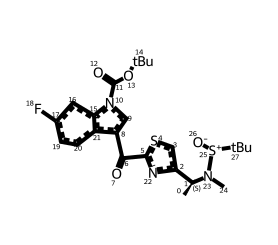 C[C@@H](c1csc(C(=O)c2cn(C(=O)OC(C)(C)C)c3cc(F)ccc23)n1)N(C)[S+]([O-])C(C)(C)C